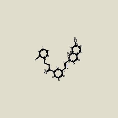 Cc1ccccc1CCC(=O)c1cccc(/C=C/c2ccc3ccc(Cl)cc3n2)c1